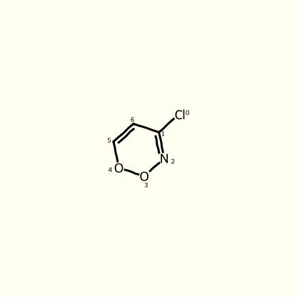 ClC1=NOOC=C1